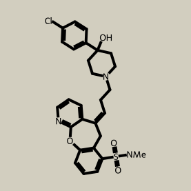 CNS(=O)(=O)c1cccc2c1C/C(=C/CCN1CCC(O)(c3ccc(Cl)cc3)CC1)c1cccnc1O2